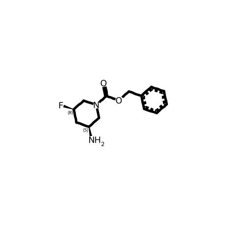 N[C@H]1C[C@@H](F)CN(C(=O)OCc2ccccc2)C1